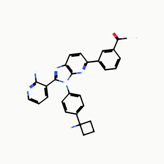 CNC(=O)c1cccc(-c2ccc3nc(-c4cccnc4N)n(-c4ccc(C5(N)CCC5)cc4)c3n2)c1